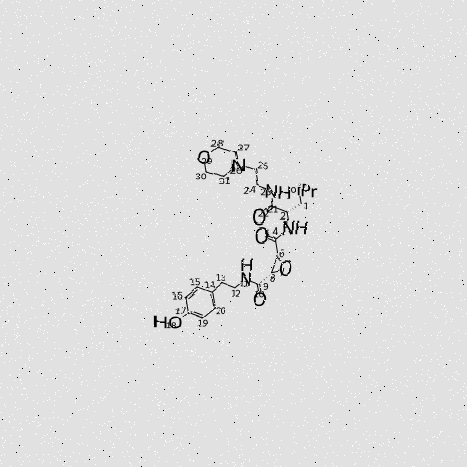 CC(C)C[C@H](NC(=O)C1O[C@@H]1C(=O)NCCc1ccc(O)cc1)C(=O)NCCN1CCOCC1